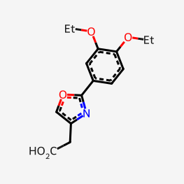 CCOc1ccc(-c2nc(CC(=O)O)co2)cc1OCC